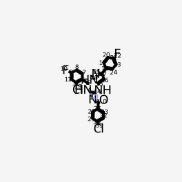 O=C(/N=C(/NCc1ccc(F)cc1Cl)Nc1cc(-c2ccc(F)cc2)n[nH]1)c1ccc(Cl)cc1